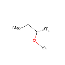 COC[C@@H](OC(C)(C)C)C(F)(F)F